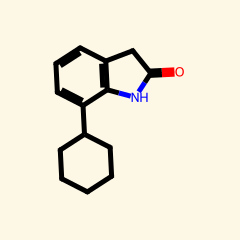 O=C1Cc2cccc(C3CCCCC3)c2N1